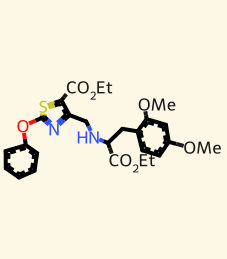 CCOC(=O)c1sc(Oc2ccccc2)nc1CNC(Cc1ccc(OC)cc1OC)C(=O)OCC